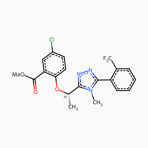 COC(=O)c1cc(Cl)ccc1O[C@@H](C)c1nnc(-c2ccccc2C(F)(F)F)n1C